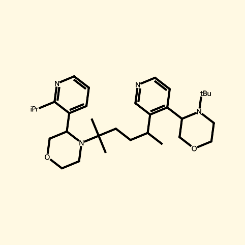 CC(C)c1ncccc1C1COCCN1C(C)(C)CCC(C)c1cnccc1C1COCCN1C(C)(C)C